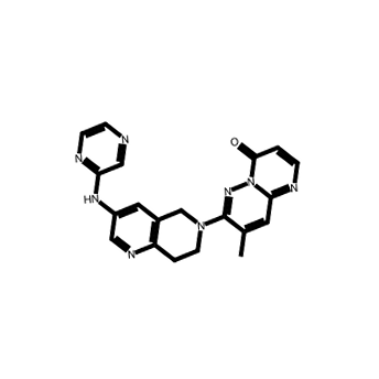 Cc1cc2nccc(=O)n2nc1N1CCc2ncc(Nc3cnccn3)cc2C1